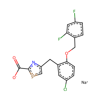 O=C([O-])c1nc(Cc2cc(Cl)ccc2OCc2ccc(F)cc2F)cs1.[Na+]